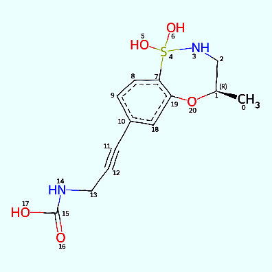 C[C@@H]1CNS(O)(O)c2ccc(C#CCNC(=O)O)cc2O1